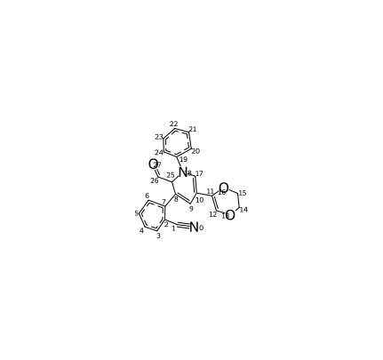 N#Cc1ccccc1C1=CC(C2=COCCO2)=CN(c2ccccc2)C1C=O